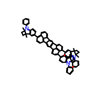 CC12CCC1(C)N(c1ccccc1)c1ccc(-c3ccc4c5cc6c(cc5c5cccc3c54)c3ccc(-c4ccc5c(c4)C4(C)CCC4(C)N5c4ccccc4)c4c(-c5ccc7c(c5)C5(C)CCC5(C)N7c5ccccc5)ccc6c43)cc12